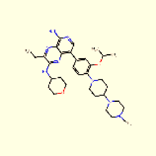 CCc1nc2c(N)ncc(-c3ccc(N4CCC(N5CCN(C)CC5)CC4)c(OC(C)C)c3)c2nc1NC1CCOCC1